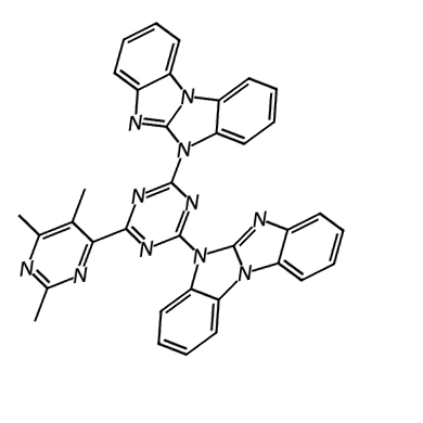 Cc1nc(C)c(C)c(-c2nc(-n3c4ccccc4n4c5ccccc5nc34)nc(-n3c4ccccc4n4c5ccccc5nc34)n2)n1